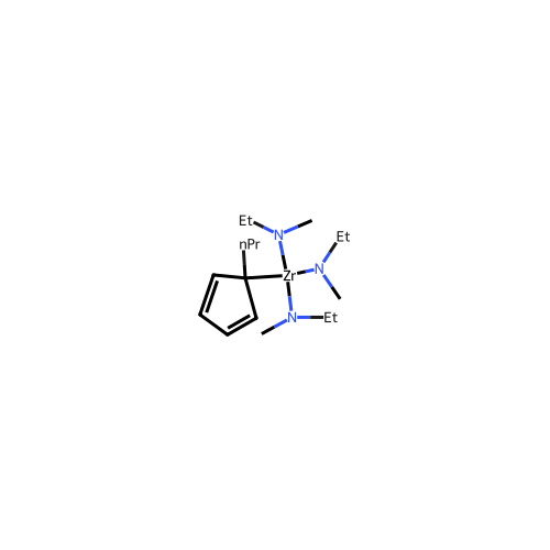 CCC[C]1([Zr]([N](C)CC)([N](C)CC)[N](C)CC)C=CC=C1